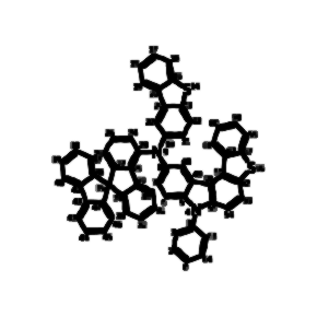 c1ccc(-n2c3ccc(N(c4ccc5sc6ccccc6c5c4)c4cccc5c4-c4ccccc4C54c5ccccc5-c5ccccc54)cc3c3c4c(ccc32)sc2ccccc24)cc1